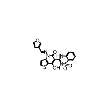 O=c1c(C2=NS(=O)(=O)c3ccccc3N2)c(O)c2sccc2n1/N=C/c1ccoc1